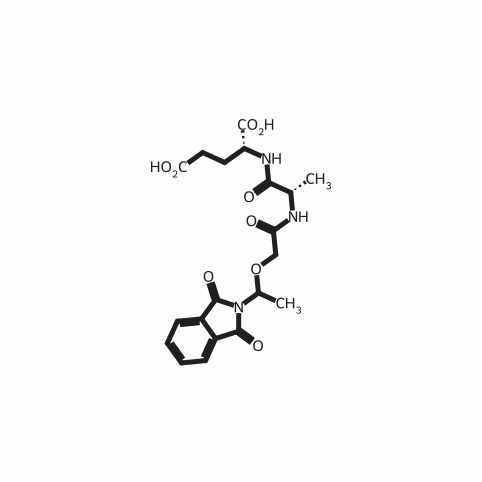 CC(OCC(=O)N[C@@H](C)C(=O)N[C@H](CCC(=O)O)C(=O)O)N1C(=O)c2ccccc2C1=O